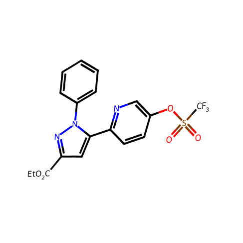 CCOC(=O)c1cc(-c2ccc(OS(=O)(=O)C(F)(F)F)cn2)n(-c2ccccc2)n1